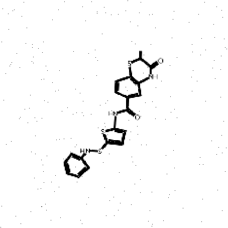 CC1Sc2ccc(C(=O)Nc3ccc(SNc4ccccc4)s3)cc2NC1=O